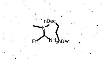 CCC(N)N(C)C.CCCCCCCCCCCCCCCCCCCCCC